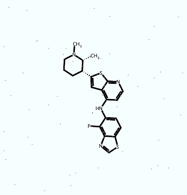 C[C@@H]1[C@H](c2cc3c(Nc4ccc5scnc5c4F)ccnc3s2)CCCN1C